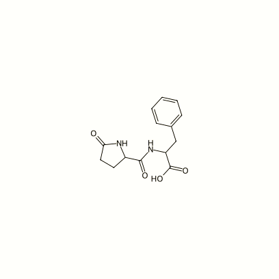 O=C1CCC(C(=O)NC(Cc2ccccc2)C(=O)O)N1